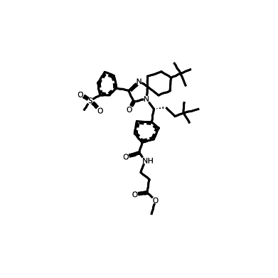 COC(=O)CCNC(=O)c1ccc([C@@H](CCC(C)(C)C)N2C(=O)C(c3cccc(S(C)(=O)=O)c3)=NC23CCC(C(C)(C)C)CC3)cc1